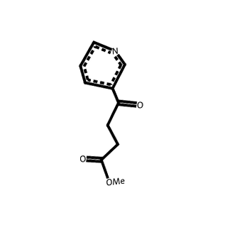 COC(=O)CCC(=O)c1cccnc1